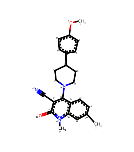 COc1ccc(C2CCN(c3c(C#N)c(=O)n(C)c4cc(C)ccc34)CC2)cc1